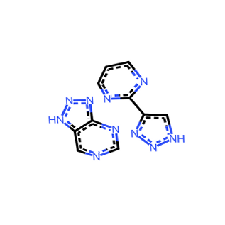 c1cnc(-c2c[nH]nn2)nc1.c1ncc2[nH]nnc2n1